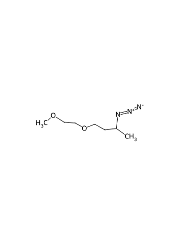 COCCOCCC(C)N=[N+]=[N-]